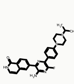 CC(C)N1CCN(c2ccc(-c3nc(-c4ccc5c(=O)[nH]ccc5c4)c(N)nc3F)cc2)CC1